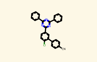 N#Cc1ccc(-c2cc(-c3nc(-c4ccccc4)nc(-c4ccccc4)n3)ccc2Cl)cc1